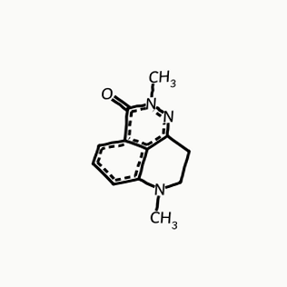 CN1CCc2nn(C)c(=O)c3cccc1c23